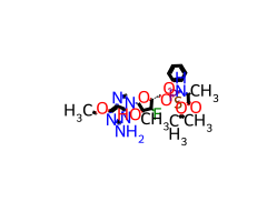 CCOc1nc(N)nc2c1ncn2[C@@H]1O[C@H](COP(=S)(N[C@@H](C)C(=O)OC(C)C)Oc2ccccc2)[C@@H](F)[C@@]1(C)O